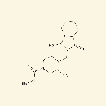 CC(C)(C)OC(=O)N1CCC(CN2C(=O)C3CCCCC3C2O)C(C(F)(F)F)C1